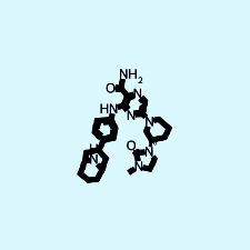 CN1CCN([C@@H]2CCCN(c3cnc(C(N)=O)c(Nc4ccc(C5CC6CCCC(C5)N6)cc4)n3)C2)C1=O